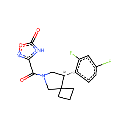 O=C(c1noc(=O)[nH]1)N1C[C@H](c2ccc(F)cc2F)C2(CCC2)C1